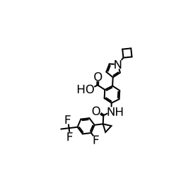 CC(F)(F)c1ccc(C2(C(=O)Nc3ccc(-c4ccn(C5CCC5)c4)c(C(=O)O)c3)CC2)c(F)c1